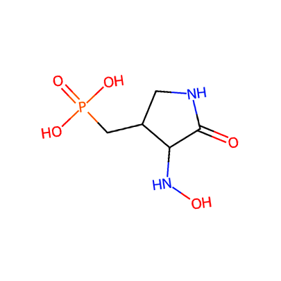 O=C1NCC(CP(=O)(O)O)C1NO